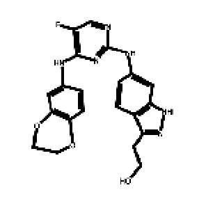 OCCc1n[nH]c2cc(Nc3ncc(F)c(Nc4ccc5c(c4)OCCO5)n3)ccc12